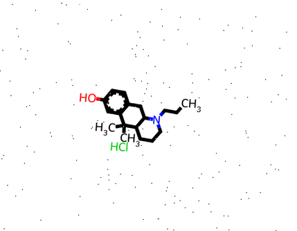 CCCN1CCCC2C1Cc1ccc(O)cc1C2(C)C.Cl